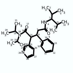 CC(C)C(NC(=O)CC(c1ccccc1)C(C(=O)N(C(C)C)C(C)C)c1cccnc1)C(C)C